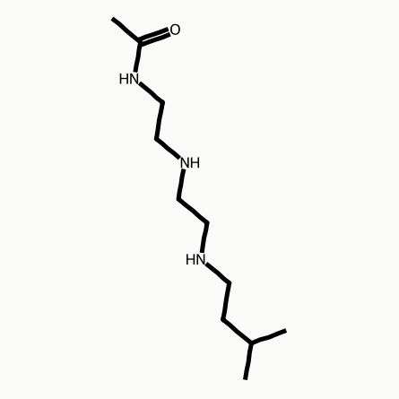 CC(=O)NCCNCCNCCC(C)C